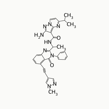 CC(C)c1ccn2nc(N)c(C(=O)NC(C)c3nc4cccc(C#Cc5cnn(C)c5)c4c(=O)n3-c3ccccc3)c2n1